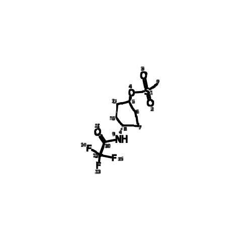 CS(=O)(=O)O[C@H]1CC[C@H](NC(=O)C(F)(F)F)CC1